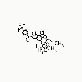 CCCCC(Oc1ccc(/C=C/C(=O)c2ccc(C(F)(F)F)cc2)c(Cl)c1Cl)C(=O)OC(C)(C)C